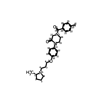 C[C@@H]1CCCN1CCCOc1ccc(N2CCN(C(=O)c3ccc(F)cc3)CC2=O)cc1